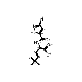 CC(C)(C)/C=C/[C@@H](NC(=O)c1cc(Cl)ns1)C(=O)O